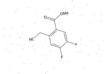 COC(=O)c1cc(F)c(F)cc1CC#N